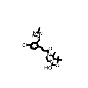 Cc1nnn(Cc2cc(Cl)ccc2C=CC(=O)N2CCN(C(=O)O)C(C(C)(C)C)C2C)n1